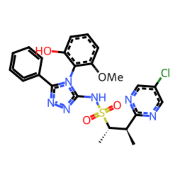 COc1cccc(O)c1-n1c(NS(=O)(=O)[C@@H](C)[C@H](C)c2ncc(Cl)cn2)nnc1C1=C=C=CC=C1